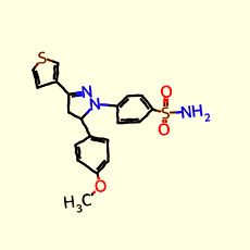 COc1ccc(C2CC(c3ccsc3)=NN2c2ccc(S(N)(=O)=O)cc2)cc1